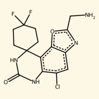 NCc1nc2cc(Cl)c3c(c2o1)C1(CCC(F)(F)CC1)NC(=O)N3